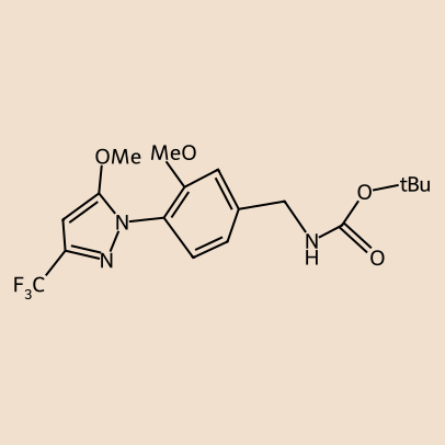 COc1cc(CNC(=O)OC(C)(C)C)ccc1-n1nc(C(F)(F)F)cc1OC